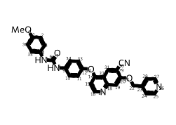 COc1ccc(NC(=O)Nc2ccc(Oc3ccnc4cc(OCc5ccncc5)c(C#N)cc34)cc2)cc1